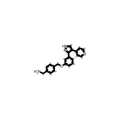 NCc1ccc(COc2cccc(-c3n[nH]cc3-c3ccncc3)c2)cc1